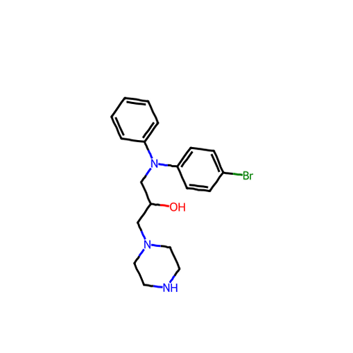 OC(CN1CCNCC1)CN(c1ccccc1)c1ccc(Br)cc1